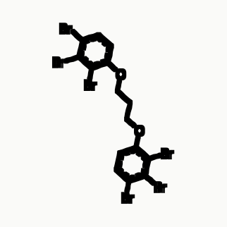 Brc1ccc(OCCCOc2ccc(Br)c(Br)c2Br)c(Br)c1Br